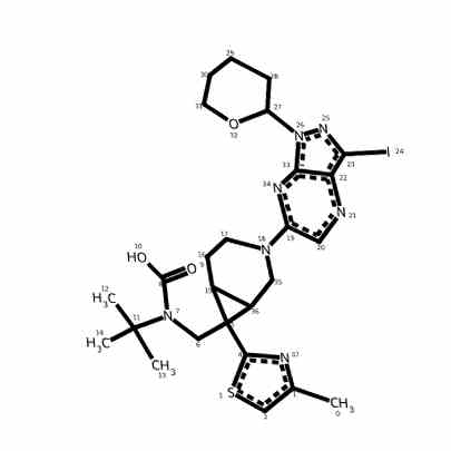 Cc1csc(C2(CN(C(=O)O)C(C)(C)C)C3CCN(c4cnc5c(I)nn(C6CCCCO6)c5n4)CC32)n1